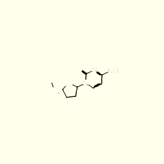 Nc1ccn(C2CC[C@H](CO)O2)c(=O)n1